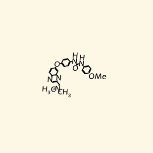 COc1ccc(NC(=O)Nc2ccc(Oc3ccc4ncc(CN(C)C)nc4c3)cc2)cc1